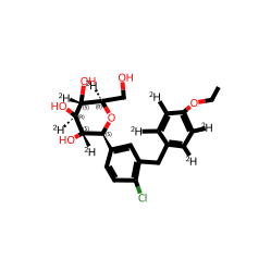 [2H]c1c([2H])c(OCC)c([2H])c([2H])c1Cc1cc([C@@H]2O[C@]([2H])(CO)[C@@]([2H])(O)[C@]([2H])(O)[C@@]2([2H])O)ccc1Cl